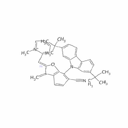 C=c1/c(=C/c2cccc[n+]2C)oc2c(-n3c4cc(C(C)(C)C)ccc4c4ccc(C(C)(C)C)cc43)c(C#N)ccc12